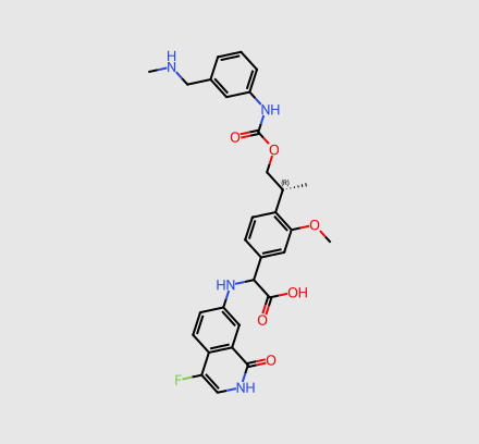 CNCc1cccc(NC(=O)OC[C@H](C)c2ccc(C(Nc3ccc4c(F)c[nH]c(=O)c4c3)C(=O)O)cc2OC)c1